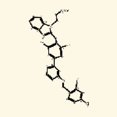 COCCn1c(Cc2c(F)cc(-c3cccc(OCc4ccc(Cl)cc4F)c3)cc2F)nc2ccccc21